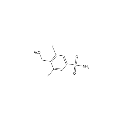 CC(=O)OCc1c(F)cc(S(N)(=O)=O)cc1F